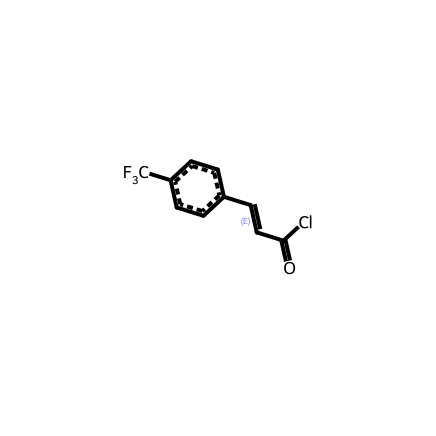 O=C(Cl)/C=C/c1ccc(C(F)(F)F)cc1